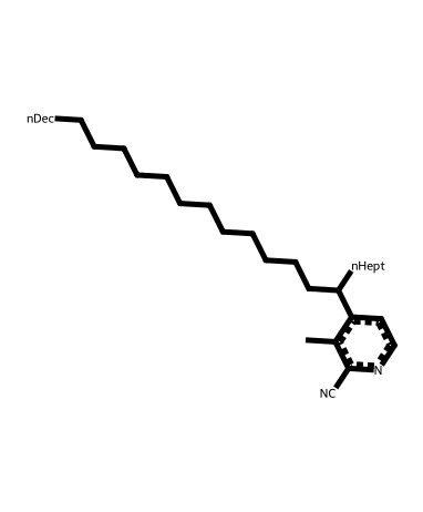 CCCCCCCCCCCCCCCCCCCCCCC(CCCCCCC)c1ccnc(C#N)c1C